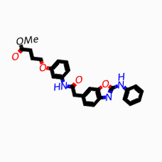 COC(=O)CCCOc1cccc(NC(=O)Cc2ccc3nc(Nc4ccccc4)oc3c2)c1